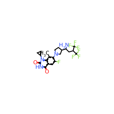 Cc1c(N2CCC(C(N)CC(C(F)(F)F)C(F)(F)F)C2)c(F)cc2c(=O)[nH]c(=O)n(C3CC3)c12